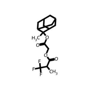 CC(C(=O)OCC(=O)OC1(C)C2CC3CC(C2)CC1C3)C(F)(F)F